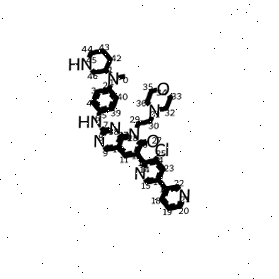 CN(c1ccc(Nc2ncc3cc(-c4ncc(-c5cccnc5)cc4Cl)c(=O)n(CCN4CCOCC4)c3n2)cc1)C1CCCNC1